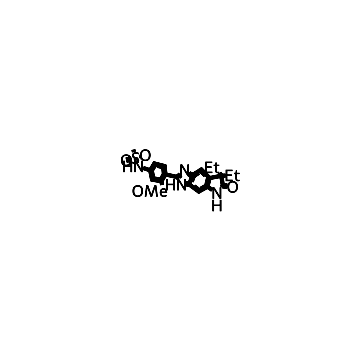 CCC1(CC)C(=O)Nc2cc3[nH]c(-c4ccc(NS(C)(=O)=O)cc4OC)nc3cc21